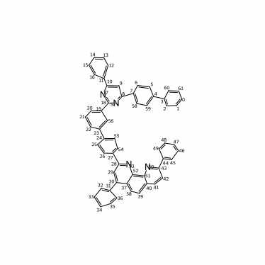 c1ccc(-c2ccc(-c3cc(-c4ccccc4)nc(-c4cccc(-c5ccc(-c6cc(-c7ccccc7)c7ccc8ccc(-c9ccccc9)nc8c7n6)cc5)c4)n3)cc2)cc1